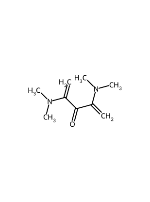 C=C(C(=O)C(=C)N(C)C)N(C)C